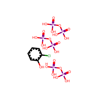 O=P(O)(O)OP(=O)(O)O.O=P(O)(O)OP(=O)(O)O.O=P(O)(O)OP(=O)(O)O.Oc1ccccc1Cl